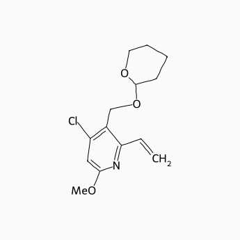 C=Cc1nc(OC)cc(Cl)c1COC1CCCCO1